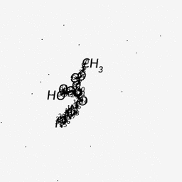 CCCCOC(=O)COc1ccc(C(=O)CCN2CCN(c3ccncc3)CC2)cc1OCC(=O)O